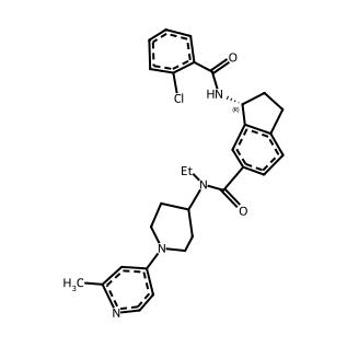 CCN(C(=O)c1ccc2c(c1)[C@H](NC(=O)c1ccccc1Cl)CC2)C1CCN(c2ccnc(C)c2)CC1